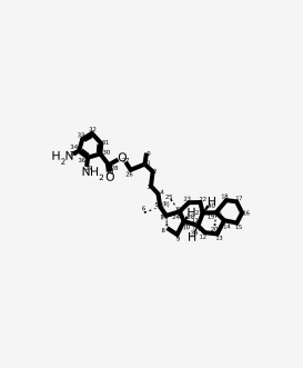 CC(CCC[C@@H](C)[C@H]1CC[C@H]2[C@@H]3CCC4CCCC[C@]4(C)[C@H]3CC[C@]12C)COC(=O)c1cccc(N)c1N